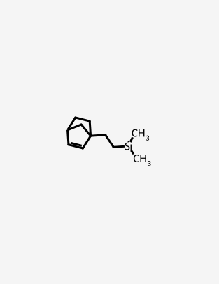 C[Si](C)CCC12C=CC(CC1)C2